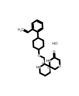 C=Cc1ccccc1C1CCC(OC[C@@H]2NCCC[C@@]23COCC(=O)N3)CC1.Cl